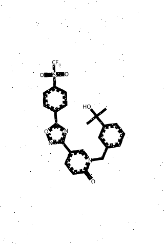 CC(C)(O)c1cccc(Cn2cc(-c3noc(-c4ccc(S(=O)(=O)C(F)(F)F)cc4)n3)ccc2=O)c1